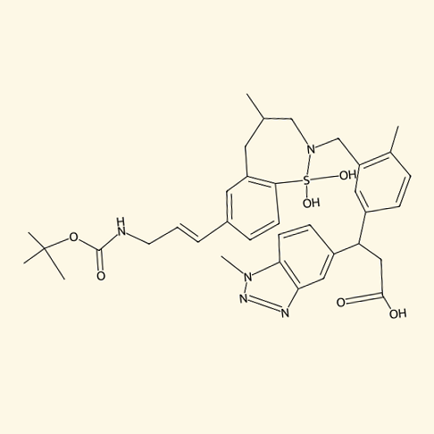 Cc1ccc(C(CC(=O)O)c2ccc3c(c2)nnn3C)cc1CN1CC(C)Cc2cc(C=CCNC(=O)OC(C)(C)C)ccc2S1(O)O